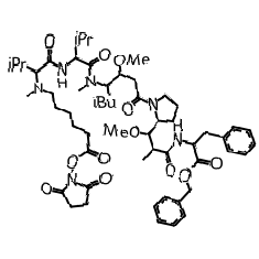 CCC(C)C(C(CC(=O)N1CCC[C@H]1C(OC)C(C)C(=O)NC(Cc1ccccc1)C(=O)OCc1ccccc1)OC)N(C)C(=O)C(NC(=O)C(C(C)C)N(C)CCCCCC(=O)ON1C(=O)CCC1=O)C(C)C